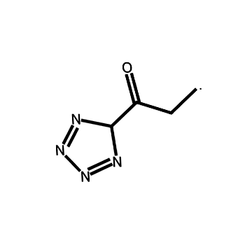 [CH2]CC(=O)C1N=NN=N1